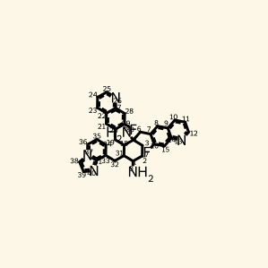 NC1CCC(N)(Cc2cc3cccnc3cc2F)C(Cc2cc3cccnc3cc2F)C1Cc1cccn2ccnc12